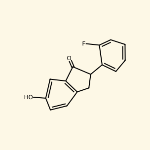 O=C1c2cc(O)ccc2CC1c1ccccc1F